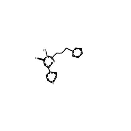 CCn1c(CCCc2ccccc2)nc(-c2ccncc2)cc1=O